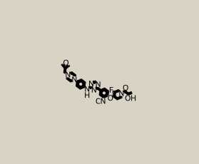 CC(O)C(=O)N1CC[C@H](Oc2ccc(-c3ncnc(Nc4ccc(N5CCN(CC6COC6)CC5)cc4)n3)cc2C#N)[C@H](F)C1